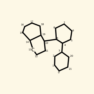 C1CCC([C]2CCCCC2C2CCCC3CCCCC32)CC1